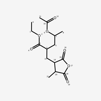 CCOC(=O)C(CC(C)OC(C)=O)CC1C(=O)OC(=O)C1C